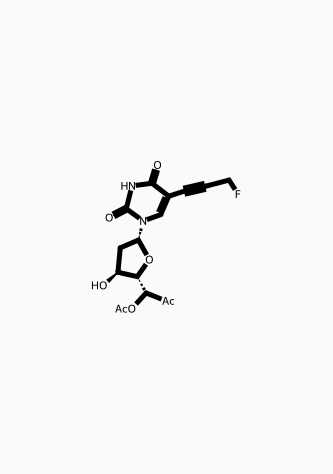 CC(=O)OC(C(C)=O)[C@H]1O[C@@H](n2cc(C#CCF)c(=O)[nH]c2=O)C[C@@H]1O